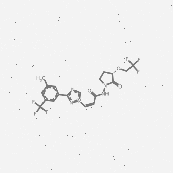 Cc1cc(-c2ncn(/C=C\C(=O)NN3CC[C@H](OCC(F)(F)F)C3=O)n2)cc(C(F)(F)F)c1